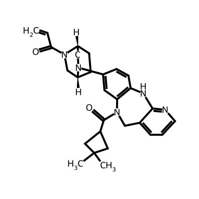 C=CC(=O)N1C[C@H]2CC[C@@H]1CN2c1ccc2c(c1)N(C(=O)C1CC(C)(C)C1)Cc1cccnc1N2